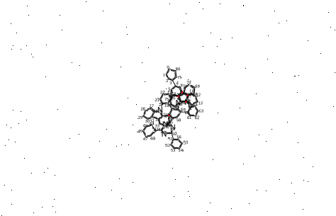 c1ccc(-c2ccc3c(c2)c2ccccc2n3-c2c(-c3ccccc3-n3c4ccccc4c4ccccc43)cc(-c3nc(-c4ccccc4)nc(-c4ccccc4)n3)cc2-c2ccccc2-n2c3ccccc3c3ccccc32)cc1